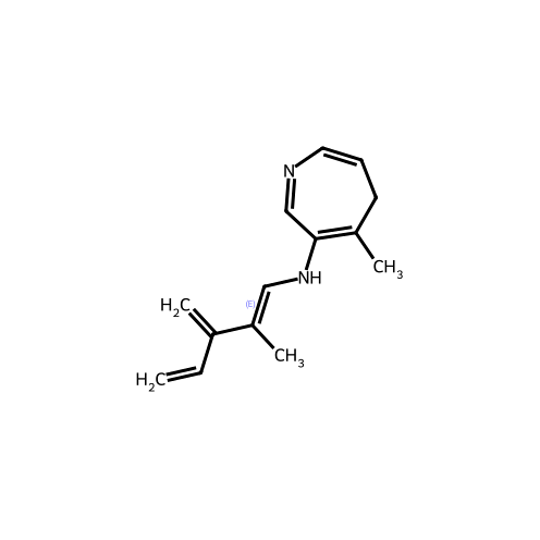 C=CC(=C)/C(C)=C/NC1=C(C)CC=CN=C1